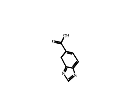 O=C(O)C1=CC=C2N=CN=C2C1